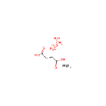 O.O.O.O.O=C(O)CCC(=O)O.[MgH2]